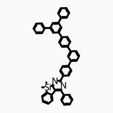 C[Si]1(C)c2ccccc2-c2c(-c3ccccc3)nc(-c3ccc(-c4cccc(-c5ccc(-c6cc(-c7ccccc7)cc(-c7ccccc7)c6)cc5)c4)cc3)nc21